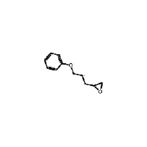 [CH](COc1ccccc1)CC1CO1